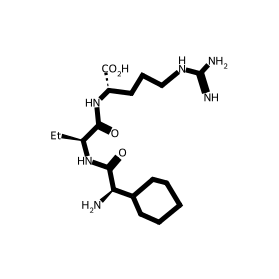 CC[C@H](NC(=O)[C@H](N)C1CCCCC1)C(=O)N[C@@H](CCCNC(=N)N)C(=O)O